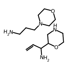 C=CC(N)C1CNCCO1.NCCCN1CCOCC1